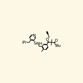 C#CCO[C@H](c1ccc(C)c(CNSc2cnccc2CC(C)C)c1)C(C)(C)C(=O)C(C)CC